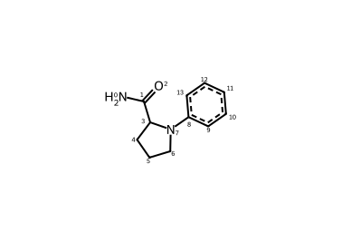 NC(=O)C1CCCN1c1ccccc1